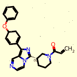 C=CC(=O)N1CCC[C@H](c2nc(C3=CCC(Oc4ccccc4)C=C3)c3cnccn23)C1